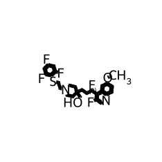 COc1ccc2ncc(F)c([C@H](F)CCC3(CO)CCN(CCSc4c(F)cc(F)cc4F)CC3)c2c1